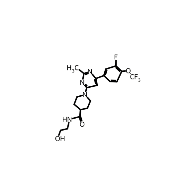 Cc1nc(-c2ccc(OC(F)(F)F)c(F)c2)cc(N2CCC(C(=O)NCCO)CC2)n1